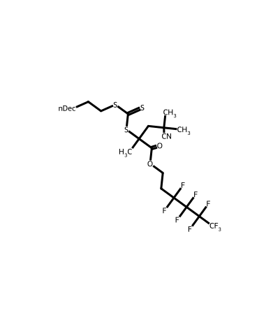 CCCCCCCCCCCCSC(=S)SC(C)(CC(C)(C)C#N)C(=O)OCCC(F)(F)C(F)(F)C(F)(F)C(F)(F)F